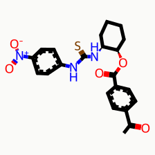 CC(=O)c1ccc(C(=O)O[C@@H]2CCCC[C@H]2NC(=S)Nc2ccc([N+](=O)[O-])cc2)cc1